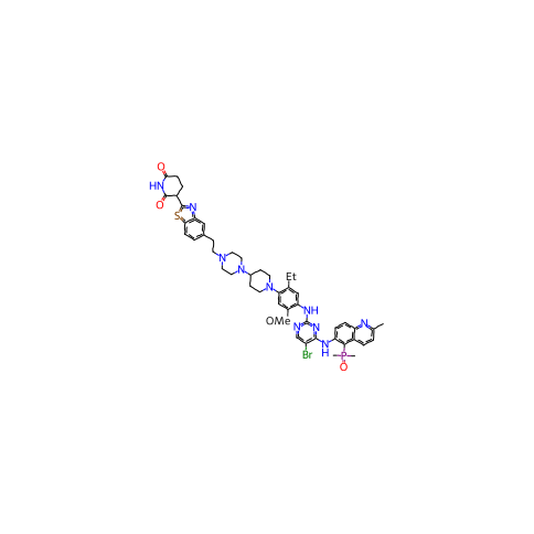 CCc1cc(Nc2ncc(Br)c(Nc3ccc4nc(C)ccc4c3P(C)(C)=O)n2)c(OC)cc1N1CCC(N2CCN(CCc3ccc4sc(C5CCC(=O)NC5=O)nc4c3)CC2)CC1